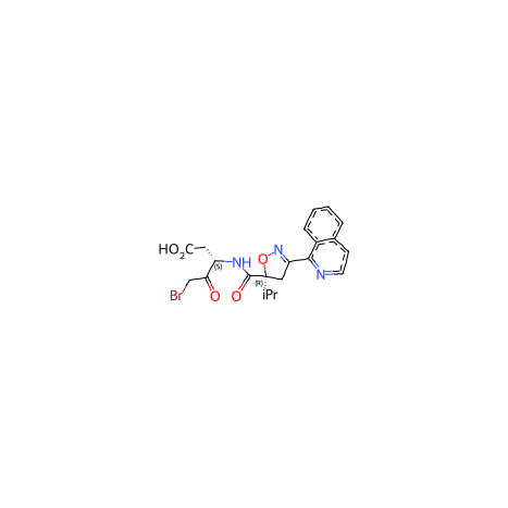 CC(C)[C@@]1(C(=O)N[C@@H](CC(=O)O)C(=O)CBr)CC(c2nccc3ccccc23)=NO1